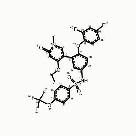 CCOc1cc(=O)n(C)cc1-c1cc(NS(=O)(=O)c2ccc(OC(F)(F)F)cc2)ccc1Oc1ccc(F)cc1F